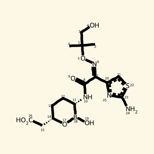 CC(C)(CO)O/N=C(\C(=O)N[C@H]1CC[C@@H](CC(=O)O)OB1O)c1csc(N)n1